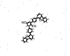 N#Cc1cc(-c2ccc(-c3cccc4c3oc3ccccc34)cc2)c(C#N)c(-c2ccc(-c3cccc4c3oc3ccccc34)cc2)c1